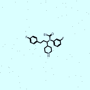 CCC(=O)N(c1cccc(F)c1)C(CCc1ccc(F)cc1)C1CCNCC1